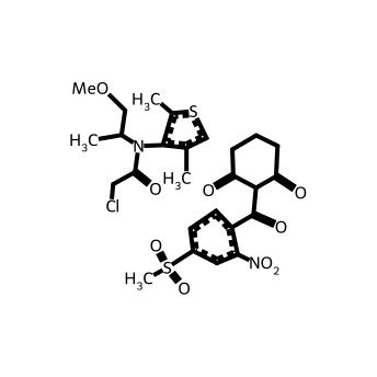 COCC(C)N(C(=O)CCl)c1c(C)csc1C.CS(=O)(=O)c1ccc(C(=O)C2C(=O)CCCC2=O)c([N+](=O)[O-])c1